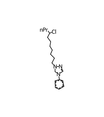 CCCC(Cl)CCCCCCCN1CN(c2ccccc2)C=N1